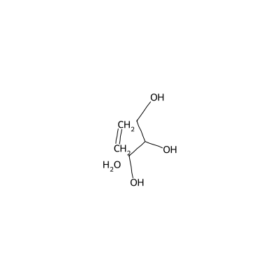 C=C.O.OCC(O)CO